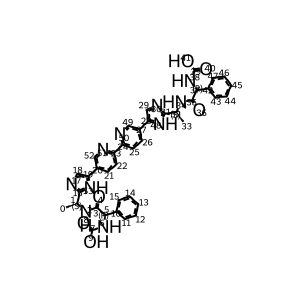 C[C@H](NC(=O)[C@H](NC(=O)O)c1ccccc1)c1ncc(-c2ccc(-c3ccc(-c4cnc([C@H](C)NC(=O)[C@H](NC(=O)O)c5ccccc5)[nH]4)cn3)nc2)[nH]1